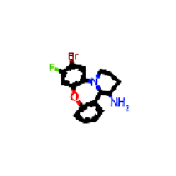 NC1CCCN2c3cc(Br)c(F)cc3Oc3ccccc3C12